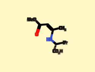 COC(=O)/C=C(/C)N[C@@H](C(=O)O)C(C)C